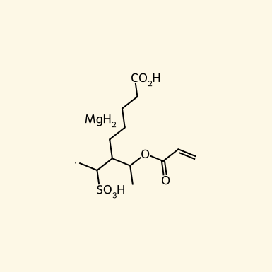 [CH2]C(C(CCCCC(=O)O)C(C)OC(=O)C=C)S(=O)(=O)O.[MgH2]